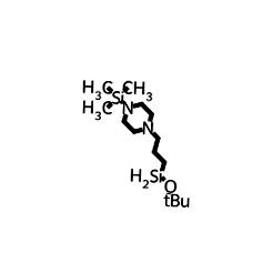 CC(C)(C)O[SiH2]CCCN1CCN([Si](C)(C)C)CC1